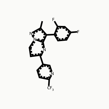 Cc1nn2ccc(-c3ccc(C(F)(F)F)nc3)nc2c1-c1ccc(F)cc1F